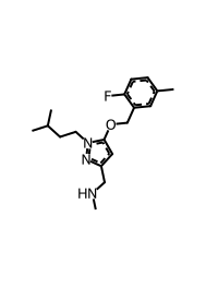 CNCc1cc(OCc2cc(C)ccc2F)n(CCC(C)C)n1